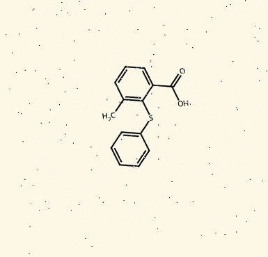 Cc1cccc(C(=O)O)c1Sc1ccccc1